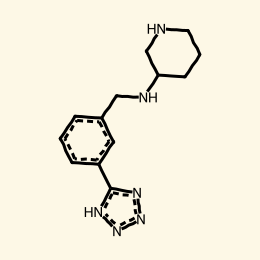 c1cc(CNC2CCCNC2)cc(-c2nnn[nH]2)c1